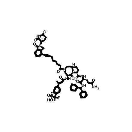 C/C(=C\C(=O)N[C@H]1CN(C(=O)CCCCCC#Cc2cccc3c2CN(C2CCC(=O)NC2=O)C3=O)CC[C@H]2CC[C@@H](C(=O)N[C@@H](CCC(N)=O)C(=O)NC(c3ccccc3)c3ccccc3)N2C1=O)c1ccc(C(F)(F)P(=O)(O)O)cc1